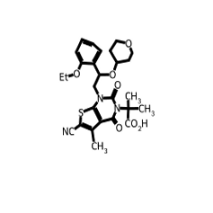 CCOc1ccccc1C(Cn1c(=O)n(C(C)(C)C(=O)O)c(=O)c2c(C)c(C#N)sc21)OC1CCOCC1